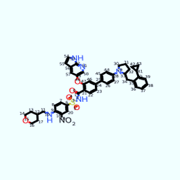 O=C(NS(=O)(=O)c1ccc(NCC2CCOCC2)c([N+](=O)[O-])c1)c1ccc(-c2ccc(N3CCCC3Cc3ccccc3C3CC3)cc2)cc1Oc1cnc2[nH]ccc2c1